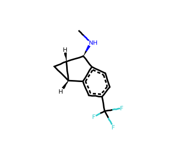 CN[C@H]1c2ccc(C(F)(F)F)cc2[C@@H]2C[C@@H]21